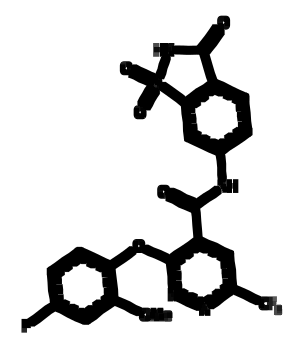 COc1cc(F)ccc1Oc1nnc(C(F)(F)F)cc1C(=O)Nc1ccc2c(c1)S(=O)(=O)NC2=O